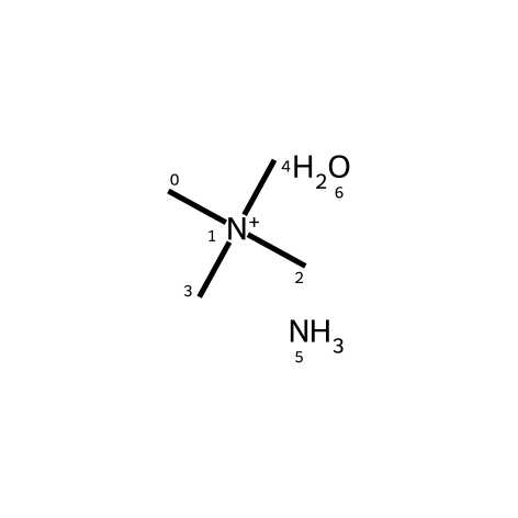 C[N+](C)(C)C.N.O